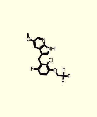 COc1cnc2[nH]cc(Cc3c(F)ccc(OCC(F)(F)F)c3Cl)c2c1